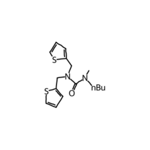 CCCCN(C)C(=O)N(Cc1cccs1)Cc1cccs1